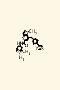 Cn1ccc2nc(C(=O)NC3CCOC(C)(C)C3)cc(Cc3ccc(-c4cscn4)cc3)c21